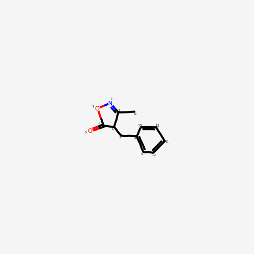 CC1=NOC(=O)C1Cc1ccccc1